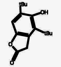 CC(C)(C)c1cc2c(c(C(C)(C)C)c1O)CC(=O)O2